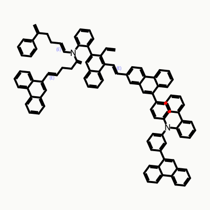 C=Cc1c(-c2ccccc2N(/C=C/CCC(=C)c2ccccc2)C(=C)CC/C=C/c2cc3ccccc3c3ccccc23)cc2ccccc2c1/C=C/c1ccc2c(c1)cc(-c1ccc(N(c3cccc(-c4cc5ccccc5c5ccccc45)c3)c3ccccc3-c3ccccc3)cc1)c1ccccc12